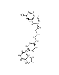 O=C1C=Cc2ccc(OCCCCN3CCN(c4cccc5sccc45)CC3)cc2[N]1